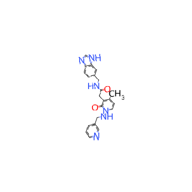 Cc1ccn(NCc2cccnc2)c(=O)c1CC(=O)NCc1ccc2nc[nH]c2c1